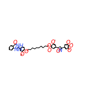 COc1cc(C2NC(=O)c3ccccc3N2)ccc1OCCCCCCCCCCOc1c(OC)cc(C2CC(c3cc(OC)c(OC)c(OC)c3)=NO2)cc1OC